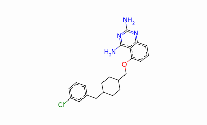 Nc1nc(N)c2c(OCC3CCC(Cc4cccc(Cl)c4)CC3)cccc2n1